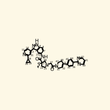 CSC1(C(=O)Nc2ccc3[nH]nc(-c4ccnc(C5CC5)c4)c3c2)CCN(CC(=O)N2CC=C(c3ccc(-c4ncccn4)cc3)CC2)C1